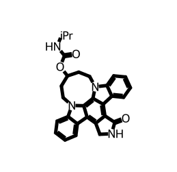 CC(C)NC(=O)OC1CCn2c3ccccc3c3c4c(c5c6ccccc6n(c5c32)CC1)C(=O)NC4